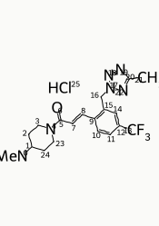 CNC1CCN(C(=O)C=Cc2ccc(C(F)(F)F)cc2Cn2nnc(C)n2)CC1.Cl